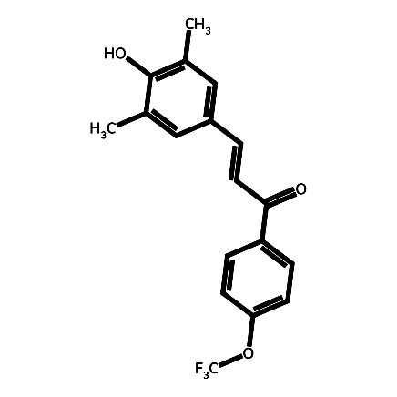 Cc1cc(/C=C/C(=O)c2ccc(OC(F)(F)F)cc2)cc(C)c1O